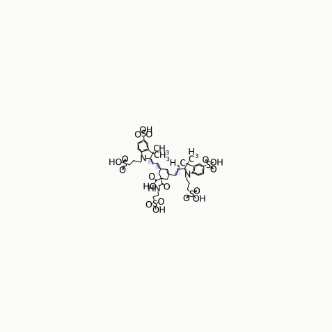 CC1(C)C(/C=C/C2=CC(=C/C=C3/N(CCCS(=O)(=O)O)c4ccc(S(=O)(=O)O)cc4C3(C)C)/CC(C(=O)O)(C(=O)NCCS(=O)(=O)O)C2)=[N+](CCCS(=O)(=O)O)c2ccc(S(=O)(=O)O)cc21